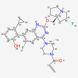 C=CC(=O)N1CCN(c2nc(OC[C@@]34CCCN3C[C@H](F)C4)nc3cc(-c4c(O)cccc4C4CC4)c(F)cc23)[C@H](C)C1